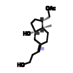 CC(=O)OC[C@H]1CC[C@]2(O)C/C(=C\CCO)CC[C@]12C